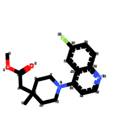 COC(=O)CC1(C)CCN(c2ccnc3ccc(F)cc23)CC1